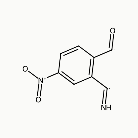 N=[C]c1cc([N+](=O)[O-])ccc1[C]=O